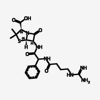 CC1(C)S[C@@H]2[C@H](NC(=O)C(NC(=O)CCCNC(=N)N)c3ccccc3)C(=O)N2[C@H]1C(=O)O